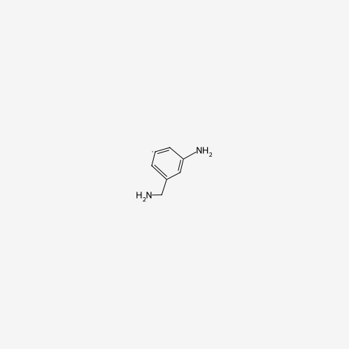 NCc1c[c]cc(N)c1